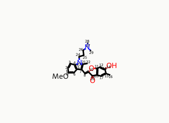 COc1ccc2c(c1)c(/C=C1\Oc3cc(O)c(C)cc3C1=O)c(C)n2CCCN(C)C